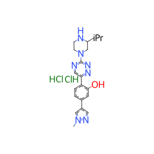 CC(C)C1CN(c2ncc(-c3ccc(-c4cnn(C)c4)cc3O)nn2)CCN1.Cl.Cl